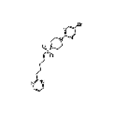 O=S(=O)(C=CCCCc1ncccn1)N1CCN(c2ncc(Br)cn2)CC1